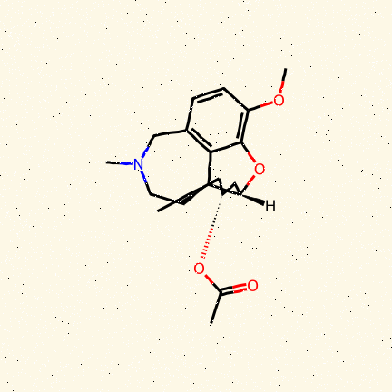 COc1ccc2c3c1O[C@H]1C[C@H](OC(C)=O)C(C)[C@@]31CCN(C)C2